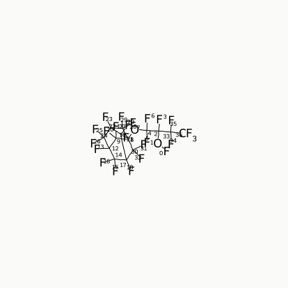 FOC(F)(C(F)(F)OC12C(F)(F)C3(F)C(F)(F)C(F)(C(F)(F)C(F)(C3(F)F)C1(F)F)C2(F)F)C(F)(F)C(F)(F)F